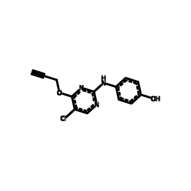 C#CCOc1nc(Nc2ccc(O)cc2)ncc1Cl